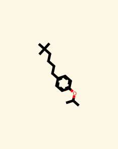 CC(C)Oc1ccc(CC[CH]CC(C)(C)C)cc1